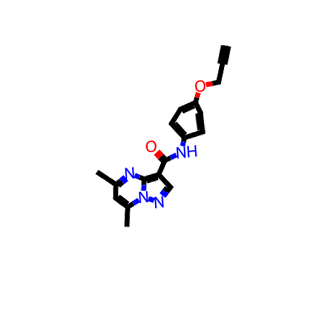 C#CCOc1ccc(NC(=O)c2cnn3c(C)cc(C)nc23)cc1